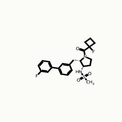 CS(=O)(=O)N[C@H]1CCN(C(=O)C2(F)CCC2)[C@H]1Cc1cccc(-c2cccc(F)c2)c1